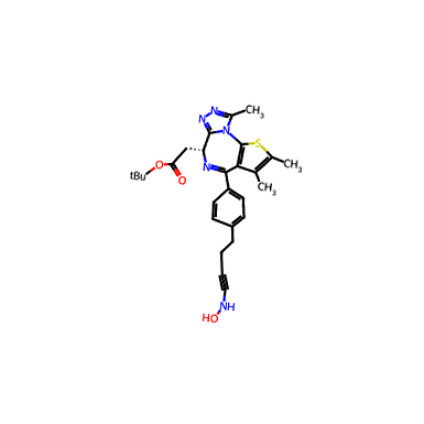 Cc1sc2c(c1C)C(c1ccc(CCC#CNO)cc1)=N[C@H](CC(=O)OC(C)(C)C)c1nnc(C)n1-2